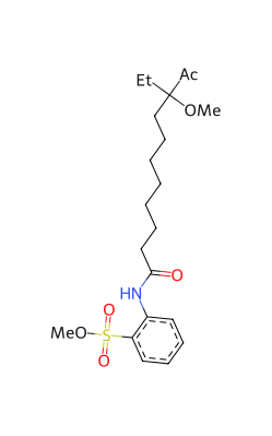 CCC(CCCCCCCC(=O)Nc1ccccc1S(=O)(=O)OC)(OC)C(C)=O